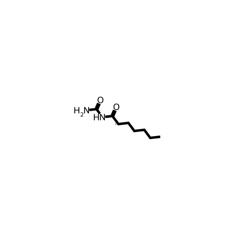 CCCCC[CH]C(=O)NC(N)=O